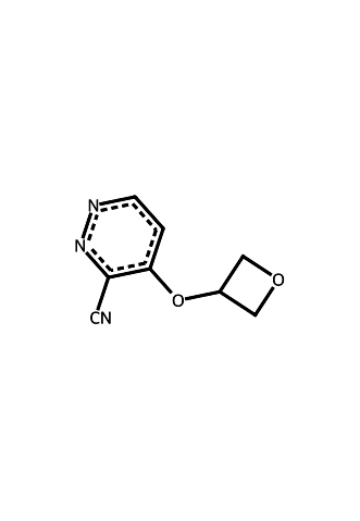 N#Cc1nnccc1OC1COC1